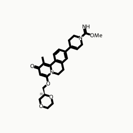 COC(=N)N1CC=C(c2ccc3c(c2)CCn2c(OC[C@@H]4COCCO4)cc(=O)c(C)c2-3)CC1